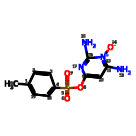 Cc1ccc(S(=O)(=O)Oc2cc(N)[n+]([O-])c(N)n2)cc1